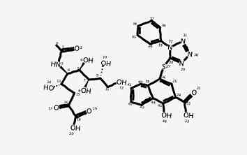 CC(=O)N[C@@H]([C@@H](O)[C@H](O)[C@H](O)CO)[C@@H](O)CC(=O)C(=O)O.O=C(O)c1cc(Sc2nnnn2-c2ccccc2)c2ccccc2c1O